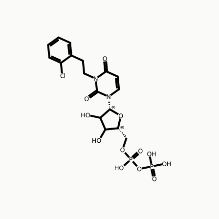 O=c1ccn([C@@H]2O[C@H](COP(=O)(O)OP(=O)(O)O)C(O)C2O)c(=O)n1CCc1ccccc1Cl